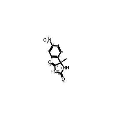 C[C@@]1(c2ccc([N+](=O)[O-])cc2)NC(=O)NC1=O